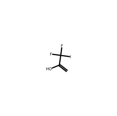 C=C(O)C(F)(F)I